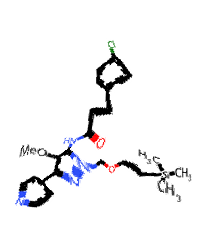 COc1c(-c2ccncc2)nn(COCC[Si](C)(C)C)c1NC(=O)C=Cc1ccc(Cl)cc1